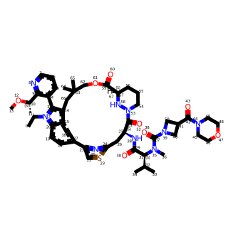 CCn1c(-c2cccnc2[C@H](C)OC)c2c3cc(ccc31)-c1csc(n1)C[C@H](NC(=O)[C@H](C(C)C)N(C)C(=O)N1CC(C(=O)N3CCOCC3)C1)C(=O)N1CCC[C@H](N1)C(=O)OCC(C)(C)C2